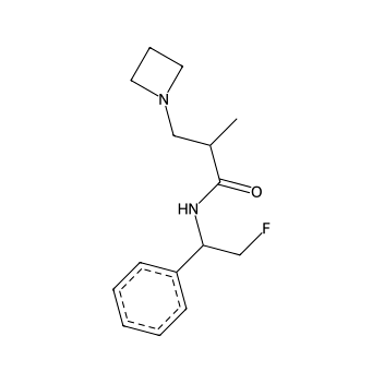 CC(CN1CCC1)C(=O)NC(CF)c1ccccc1